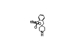 CC(C)(C)C(=O)OC1(Cc2ccccc2O)CCNCC1